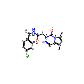 Cc1cc(C)n2c(=O)n(CC(=O)N[C@@H](C)c3ccc(Cl)cc3)ncc12